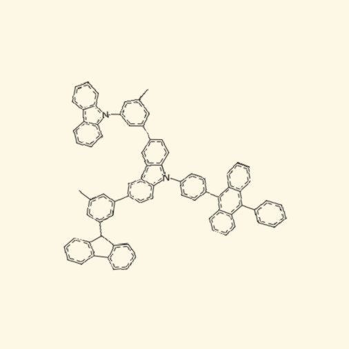 Cc1cc(-c2ccc3c(c2)c2cc(-c4cc(C)cc(-n5c6ccccc6c6ccccc65)c4)ccc2n3-c2ccc(-c3c4ccccc4c(-c4ccccc4)c4ccccc34)cc2)cc(C2c3ccccc3-c3ccccc32)c1